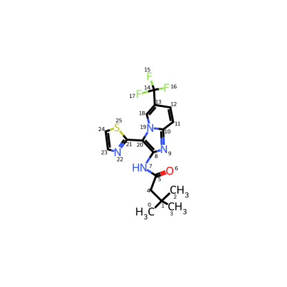 CC(C)(C)CC(=O)Nc1nc2ccc(C(F)(F)F)cn2c1-c1nccs1